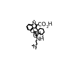 CN(C)CCNC(=O)[C@@H]1CCCC[C@@]1(C(N)=O)c1c(C(=O)O)n(C)c2ccccc12